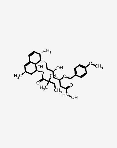 CCC(C)(C)C(=O)O[C@H]1C[C@@H](C)C=C2C=C[C@H](C)[C@H](CC[C@@H](O)C[C@H](CC(=O)NO)OCc3ccc(OC)cc3)[C@H]21